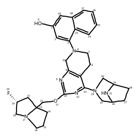 Oc1cc(N2CCc3c(nc(OCC45CCCN4C[C@H](F)C5)nc3N3CC4CCC(C3)N4)C2)c2ccccc2c1